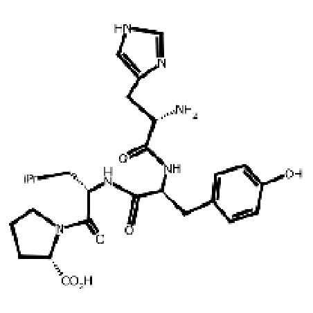 CC(C)C[C@H](NC(=O)[C@H](Cc1ccc(O)cc1)NC(=O)[C@@H](N)Cc1c[nH]cn1)C(=O)N1CCC[C@H]1C(=O)O